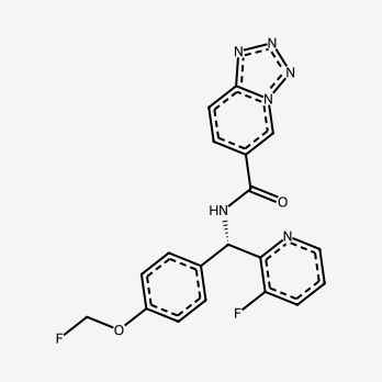 O=C(N[C@@H](c1ccc(OCF)cc1)c1ncccc1F)c1ccc2nnnn2c1